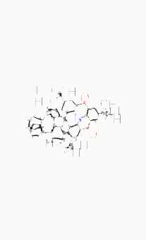 CC(C)(C)c1cc2c3c(c1)c(=O)c1cc(C(C)(C)C)cc4c(=O)c5cc(C(C)(C)C)cc(c5n3c14)C21c2cccc(-c3ccccc3)c2-c2c(-c3ccccc3)cccc21